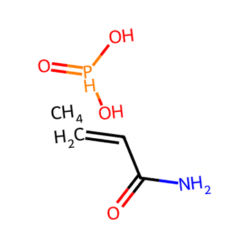 C.C=CC(N)=O.O=[PH](O)O